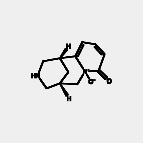 O=C1C=CC=C2[C@H]3CNC[C@H](C3)C[N+]12[O-]